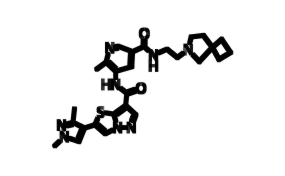 Cc1ncc(C(=O)NCCN2CCC3(CCC3)C2)cc1NC(=O)c1cnn2cc(-c3cn(C)nc3C)sc12